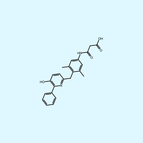 Cc1cc(NC(=O)CC(=O)O)cc(C)c1Cc1ccc(O)c(-c2ccccc2)n1